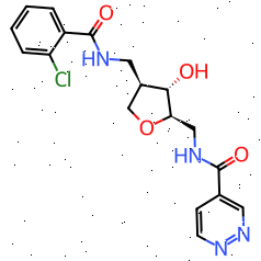 O=C(NC[C@H]1OC[C@@H](CNC(=O)c2ccccc2Cl)[C@@H]1O)c1ccnnc1